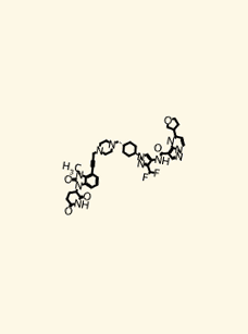 Cn1c(=O)n(C2CCC(=O)NC2=O)c2cccc(C#CCN3CCN(C[C@H]4CC[C@H](n5cc(NC(=O)c6cnn7ccc(C8CCOC8)nc67)c(C(F)F)n5)CC4)CC3)c21